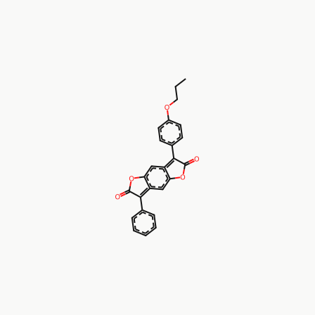 CCCOc1ccc(C2=c3cc4c(cc3OC2=O)=C(c2ccccc2)C(=O)O4)cc1